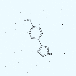 CCCCCCc1ccc(-c2[c][nH]cn2)cc1